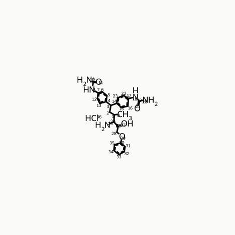 CC(CC(c1ccc(NC(N)=O)cc1)c1ccc(NC(N)=O)cc1)C(N)[C@@H](O)COc1ccccc1.Cl